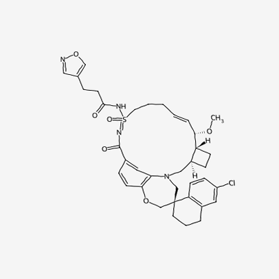 CO[C@H]1/C=C/CCCS(=O)(NC(=O)CCc2cnoc2)=NC(=O)c2ccc3c(c2)N(C[C@@H]2CC[C@H]21)C[C@@]1(CCCc2cc(Cl)ccc21)CO3